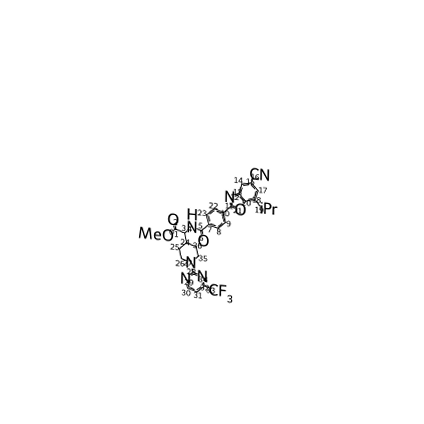 COC(=O)C(NC(=O)c1ccc(-c2nc3cc(C#N)cc(C(C)C)c3o2)cc1)C1CCN(c2nccc(C(F)(F)F)n2)CC1